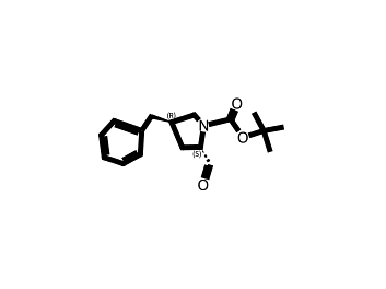 CC(C)(C)OC(=O)N1C[C@H](Cc2ccccc2)C[C@H]1C=O